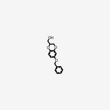 OCC1COc2cc(OCc3ccccc3)ccc2O1